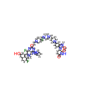 CCc1c(F)ccc2cc(O)cc(-c3ncc4c(N5CC6CCC(C5)N6)nc(OCCN5CCC(F)(CN6CCN(CC7CCN(c8ccc9c(c8)n(C)c(=O)n9C8CCC(=O)NC8=O)CC7)CC6)CC5)nc4c3F)c12